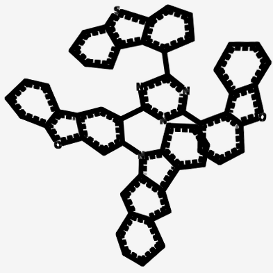 c1ccc2cc3c(cc2c1)c1ccccc1n3-c1cc2oc3ccccc3c2cc1-c1nc(-c2cccc3oc4ccccc4c23)nc(-c2cccc3sc4ccccc4c23)n1